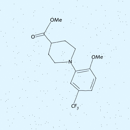 COC(=O)C1CCN(c2cc(C(F)(F)F)ccc2OC)CC1